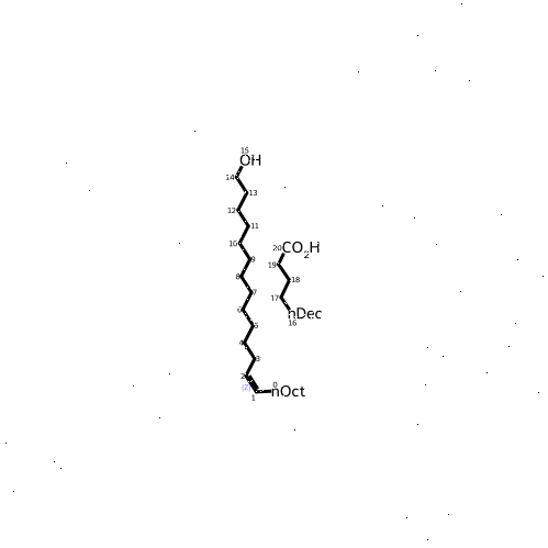 CCCCCCCC/C=C\CCCCCCCCCCCCO.CCCCCCCCCCCCCC(=O)O